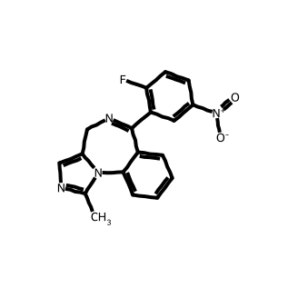 Cc1ncc2n1-c1ccccc1C(c1cc([N+](=O)[O-])ccc1F)=NC2